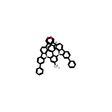 Fc1cc(F)cc(-c2c(-n3c4cc(-c5ccccc5)ccc4c4ccc(-c5ccccc5)cc43)cc(C(F)(F)F)cc2-n2c3cc(-c4ccccc4)ccc3c3ccc(-c4ccccc4)cc32)c1